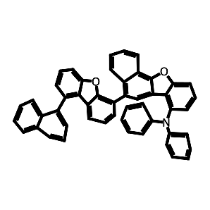 c1ccc(N(c2ccccc2)c2cccc3oc4c5ccccc5c(-c5cccc6c5oc5cccc(-c7cccc8ccccc78)c56)cc4c23)cc1